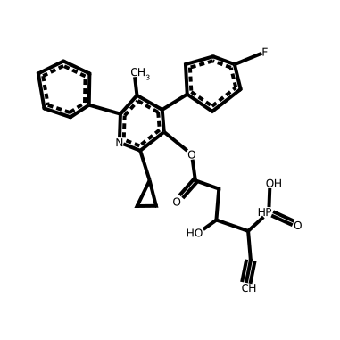 C#CC(C(O)CC(=O)Oc1c(C2CC2)nc(-c2ccccc2)c(C)c1-c1ccc(F)cc1)[PH](=O)O